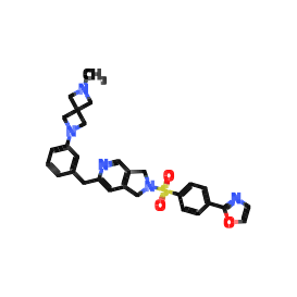 CN1CC2(C1)CN(c1cccc(Cc3cc4c(cn3)CN(S(=O)(=O)c3ccc(-c5ncco5)cc3)C4)c1)C2